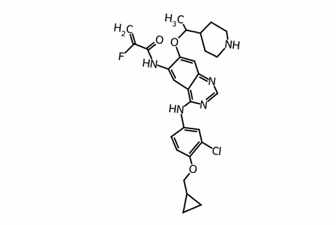 C=C(F)C(=O)Nc1cc2c(Nc3ccc(OCC4CC4)c(Cl)c3)ncnc2cc1OC(C)C1CCNCC1